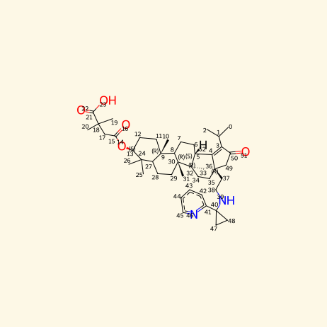 CC(C)C1=C2[C@H]3CCC4[C@@]5(C)CC[C@H](OC(=O)CC(C)(C)C(=O)O)C(C)(C)C5CC[C@@]4(C)[C@]3(C)CC[C@@]2(CCNC2(c3ccccn3)CC2)CC1=O